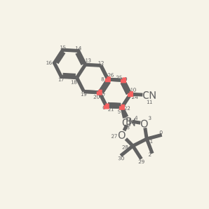 CC1(C)OB(c2cc3c(cc2C#N)C2c4ccccc4C3c3cc(C#N)ccc32)OC1(C)C